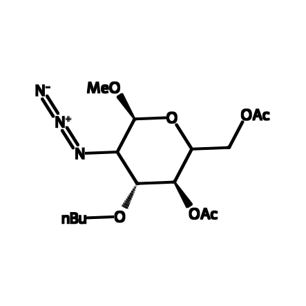 CCCCO[C@@H]1C(N=[N+]=[N-])[C@@H](OC)OC(COC(C)=O)[C@H]1OC(C)=O